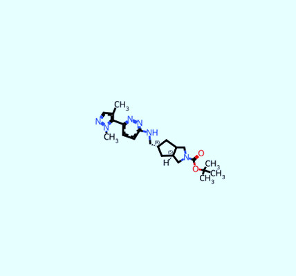 Cc1cnn(C)c1-c1ccc(NC[C@@H]2CC3CN(C(=O)OC(C)(C)C)C[C@H]3C2)nn1